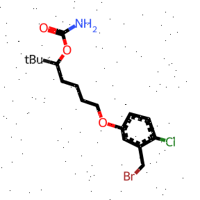 CC(C)(C)C(CCCCOc1ccc(Cl)c(CBr)c1)OC(N)=O